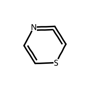 C1=CSC=CN=1